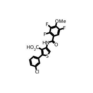 COc1c(F)cc(C(=O)Nc2csc(-c3cccc(Cl)c3)c2C(=O)O)c(F)c1F